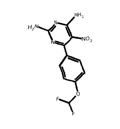 Nc1nc(N)c([N+](=O)[O-])c(-c2ccc(OC(F)F)cc2)n1